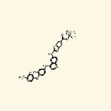 Cc1ccc(Oc2ccc(Nc3ncnc4ccc(NC5=NC6CN(C(=O)OC(C)(C)C)CC6O5)cc34)cc2C)cn1